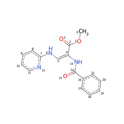 COC(=O)/C(=C\Nc1ccccn1)NC(=O)c1ccccc1